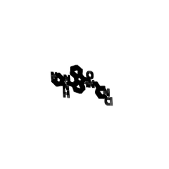 O=C(NCc1ccc(Cl)nc1)C1c2ccccc2-c2c(-c3nc4cnccc4[nH]3)cccc21